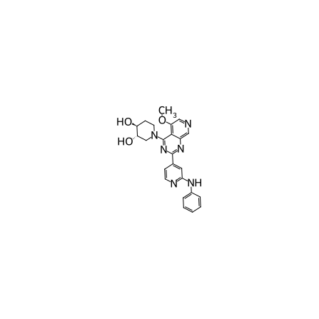 COc1cncc2nc(-c3ccnc(Nc4ccccc4)c3)nc(N3CC[C@H](O)[C@@H](O)C3)c12